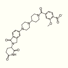 COc1cc(C(=O)N2CCC(N3CCN(c4ccc5c(c4)CN(C4CCC(=O)NC4=O)C5=O)CC3)CC2)ccc1[N+](=O)[O-]